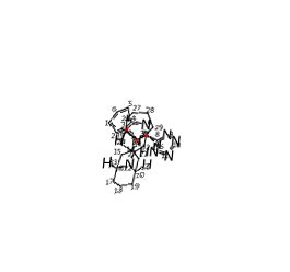 c1ccc2c(c1)nc(-c1nnn[nH]1)n2[C@@H]1C[C@H]2CCC[C@@H](C1)N2[C@H]1C[C@@H]2CCCC[C@@H](C2)C1